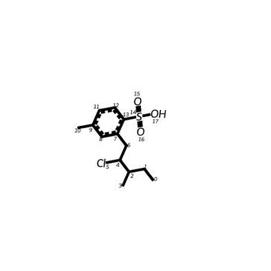 CCC(C)C(Cl)Cc1cc(C)ccc1S(=O)(=O)O